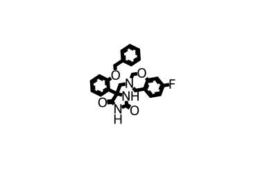 O=C1NC(=O)C(CN2COc3cc(F)ccc3C2)(c2ccccc2OCc2ccccc2)N1